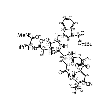 CNC(=O)[C@@H](NC(=O)[C@H](C)NC(=O)[C@H](Cc1cn(C(=O)OC(C)(C)C)c2ccccc12)NC(=O)[C@H](CCC(N)=O)NC(=O)CN(C)S(=O)(=O)c1ccc([N+](C)(C)C)c(C#N)c1)C(C)C